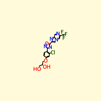 OCC(O)COc1ccc(-c2noc(-c3cn4cc(C(F)(F)F)ncc4n3)n2)c(Cl)c1